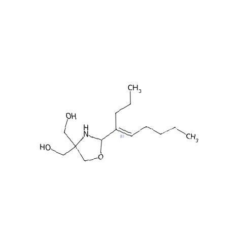 CCCC/C=C(\CCC)C1NC(CO)(CO)CO1